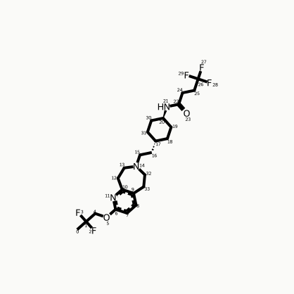 CC(F)(F)COc1ccc2c(n1)CCN(CC[C@H]1CC[C@H](NC(=O)CCC(F)(F)F)CC1)CC2